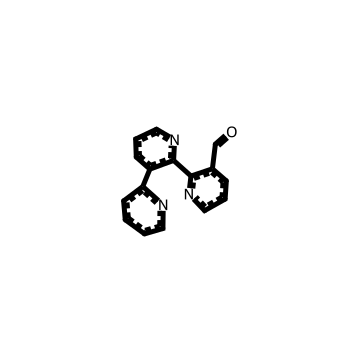 O=Cc1cccnc1-c1ncccc1-c1ccccn1